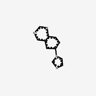 c1cn(-c2ccc3ncncc3c2)cn1